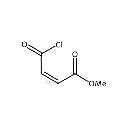 COC(=O)/C=C\C(=O)Cl